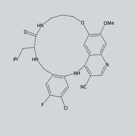 COc1cc2ncc(C#N)c3c2cc1OCCCNC(=O)C(CC(C)C)NCc1cc(F)c(Cl)cc1N3